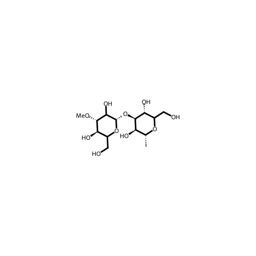 CO[C@@H]1C(O)[C@H](O[C@@H]2[C@H](O)[C@@H](C)OC(CO)[C@H]2O)OC(CO)[C@H]1O